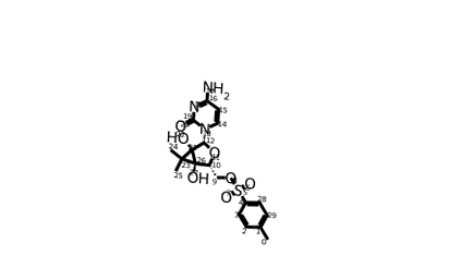 Cc1ccc(S(=O)(=O)OC[C@H]2O[C@@H](n3ccc(N)nc3=O)[C@@]3(O)C(C)(C)[C@@]23O)cc1